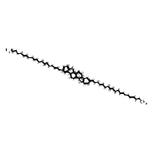 CCCCCCCCCCCCCCCCCCCCc1ccc2oc3c(ccc4c3ccc3c5cc(CCCCCCCCCCCCCCCCCCCC)ccc5sc34)c2c1